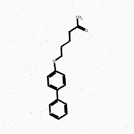 CC(=O)CCCCOc1ccc(-c2ccccc2)cc1